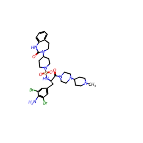 CN1CCC(N2CCN(C(=O)[C@@H](Cc3cc(Br)c(N)c(Br)c3)NS(=O)(=O)N3CCC(N4CCc5ccccc5NC4=O)CC3)CC2)CC1